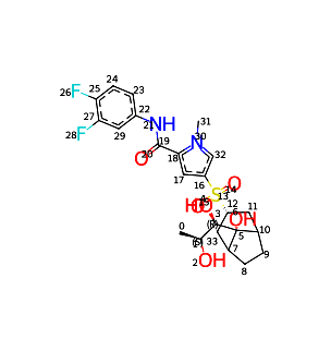 C[C@H](O)[C@@H](O)[C@]1(O)C2CCC1C[C@@H](S(=O)(=O)c1cc(C(=O)Nc3ccc(F)c(F)c3)n(C)c1)C2